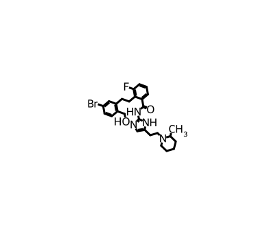 CC1CCCCN1CCc1cnc(NC(=O)c2cccc(F)c2CCc2cc(Br)ccc2CO)[nH]1